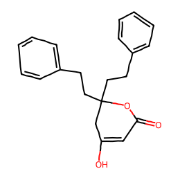 O=C1C=C(O)CC(CCc2ccccc2)(CCc2ccccc2)O1